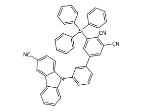 N#Cc1ccc2c(c1)c1ccccc1n2-c1cccc(-c2cc(C#N)c(C#N)c([Si](c3ccccc3)(c3ccccc3)c3ccccc3)c2)c1